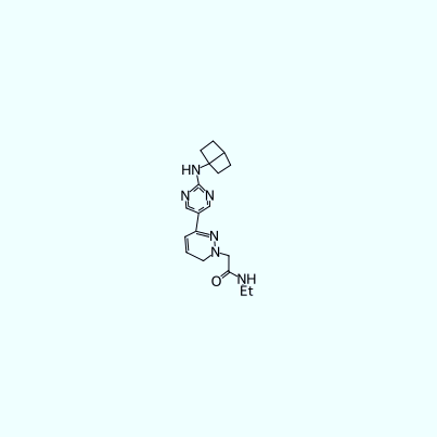 CCNC(=O)CN1CC=CC(c2cnc(NC34CCC3CC4)nc2)=N1